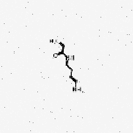 C=CC(=O)NCCC=CN